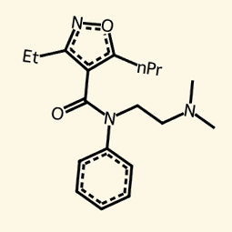 CCCc1onc(CC)c1C(=O)N(CCN(C)C)c1ccccc1